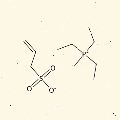 C=CCS(=O)(=O)[O-].CC[P+](C)(CC)CC